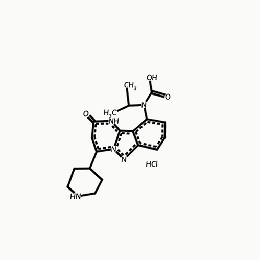 CC(C)N(C(=O)O)c1cccc2nn3c(C4CCNCC4)cc(=O)[nH]c3c12.Cl